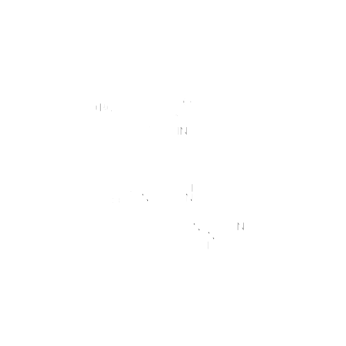 CC#CC(=O)N1CC[C@@H](Nc2n[nH]c3nccc(-c4ccc(CNC(=O)c5ccc(C(C)(C)C)cc5)cc4C)c23)C1